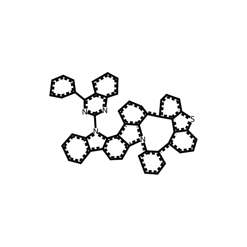 c1ccc(-c2nc(-n3c4ccccc4c4ccc5c(c6cccc7c8cccc9sc%10cccc(c%11ccccc%11n5c76)c%10c98)c43)nc3ccccc23)cc1